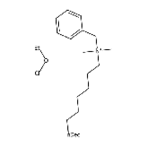 CCCCCCCCCCCCCCCC[N+](C)(C)Cc1ccccc1.CCOCl